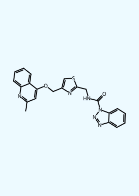 Cc1cc(OCc2csc(CNC(=O)n3nnc4ccccc43)n2)c2ccccc2n1